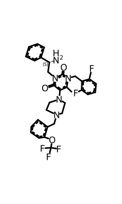 Cc1c(N2CCN(Cc3ccccc3OC(F)(F)F)CC2)c(=O)n(C[C@@H](N)c2ccccc2)c(=O)n1Cc1c(F)cccc1F